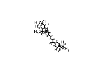 CC(C)(C)CC(CC(C)(C)C)=NOCCCCCC(=O)N1CCC(C(C)(C)C)CC1